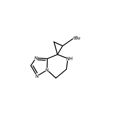 CC(C)(C)C1CC12NCCn1ncnc12